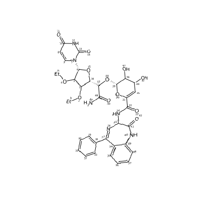 CCOC1C(OCC)[C@H](n2ccc(=O)[nH]c2=O)O[C@@H]1C(O[C@H]1OC(C(=O)NC2N=C(c3ccccc3)c3ccccc3NC2=O)=CC(O)C1O)C(N)=O